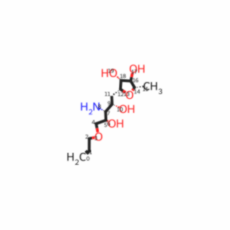 C=CCOC[C@H](O)[C@H](N)[C@@H](O)C[C@H]1O[C@@H](C)C(O)[C@H]1O